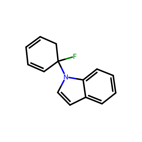 FC1(n2ccc3ccccc32)C=CC=CC1